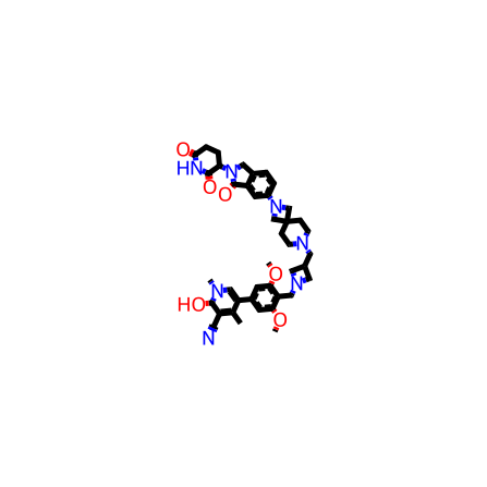 COc1cc(C2=CN(C)C(O)C(C#N)=C2C)cc(OC)c1CN1CC(CN2CCC3(CC2)CN(c2ccc4c(c2)C(=O)N(C2CCC(=O)NC2=O)C4)C3)C1